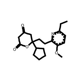 CCc1ccc(OC)c(CCC2(C3CCCC3)CC(=O)CC(=O)O2)n1